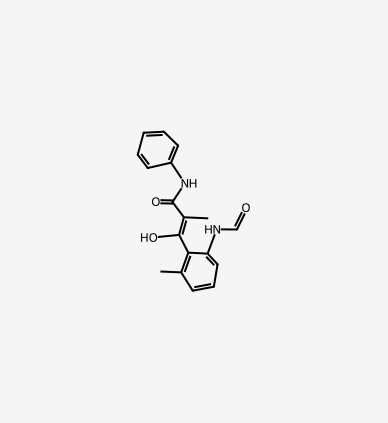 C/C(C(=O)Nc1ccccc1)=C(/O)c1c(C)cccc1NC=O